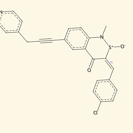 CN1c2ccc(C#CCc3ccncc3)cc2C(=O)/C(=C\c2ccc(Cl)cc2)[S+]1[O-]